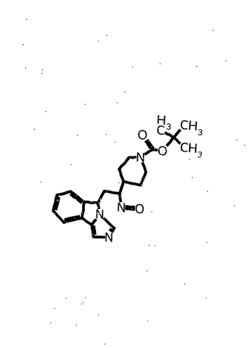 CC(C)(C)OC(=O)N1CCC(C(CC2c3ccccc3-c3cncn32)N=O)CC1